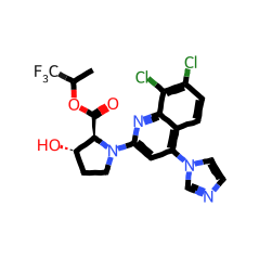 CC(OC(=O)[C@@H]1[C@@H](O)CCN1c1cc(-n2ccnc2)c2ccc(Cl)c(Cl)c2n1)C(F)(F)F